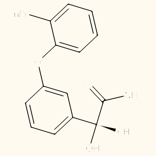 CCCc1ccccc1Oc1cccc([C@@](C)(O)C(N)=O)c1